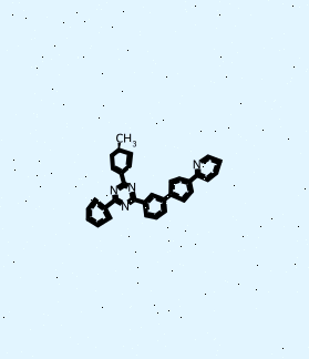 C[C@H]1C=CC(c2nc(-c3ccccc3)nc(-c3cccc(-c4ccc(-c5ccccn5)cc4)c3)n2)=CC1